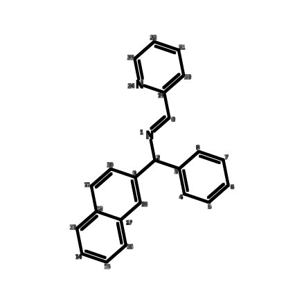 C(=N\C(c1ccccc1)c1ccc2ccccc2c1)/c1ccccn1